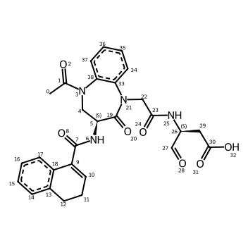 CC(=O)N1C[C@H](NC(=O)C2=CCCc3ccccc32)C(=O)N(CC(=O)N[C@H](C=O)CC(=O)O)c2ccccc21